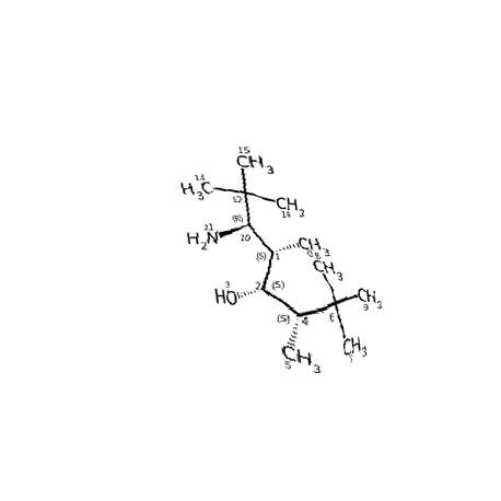 C[C@H]([C@@H](O)[C@@H](C)C(C)(C)C)[C@@H](N)C(C)(C)C